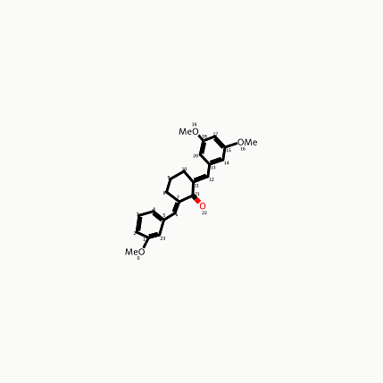 COc1cccc(/C=C2\CCC/C(=C\c3cc(OC)cc(OC)c3)C2=O)c1